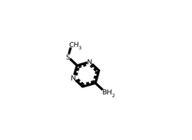 Bc1cnc(SC)nc1